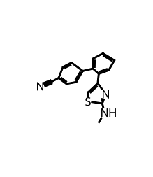 CNc1nc(-c2ccccc2-c2ccc(C#N)cc2)cs1